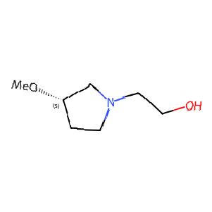 CO[C@H]1CCN(CCO)C1